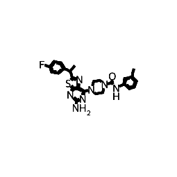 Cc1cccc(NC(=O)N2CCN(c3nc(N)nc4sc(C(C)c5ccc(F)cc5)nc34)CC2)c1